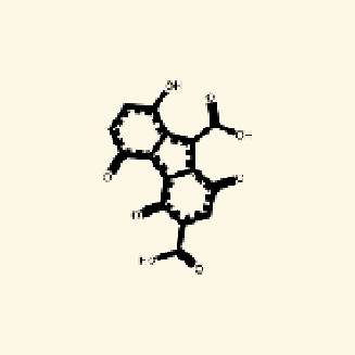 O=C(O)c1c2c(O)ccc(=O)c-2c2c(=O)c(C(=O)O)cc(=O)c1-2